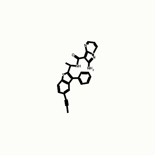 CC#Cc1ccc2sc(C(C)NC(=O)c3c(N)nn4cccnc34)c(-c3ccccc3)c2c1